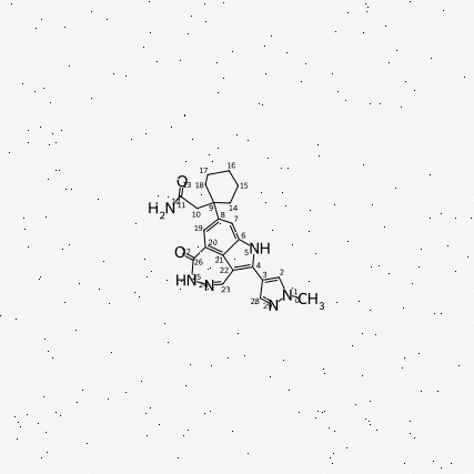 Cn1cc(-c2[nH]c3cc(C4(CC(N)=O)CCCCC4)cc4c3c2C=NNC4=O)cn1